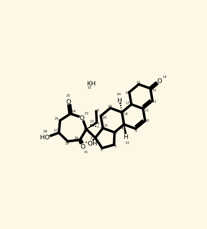 CC[C@]1([C@]2(O)CCC3[C@H]4C=CC5=CC(=O)CCC5[C@@H]4CC[C@@]32C)OC(=O)CC(O)CC1=O.[KH]